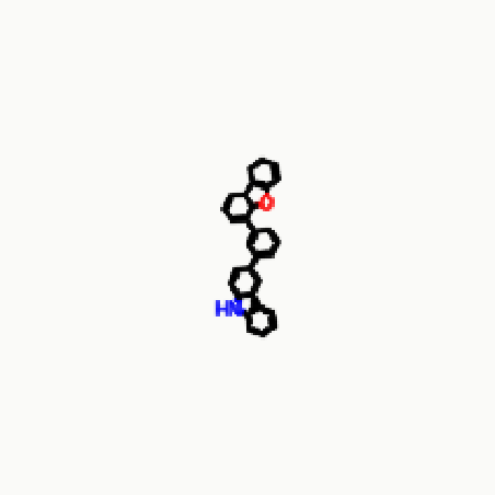 C1=CC2C3=C(C=CCC3)OC2C(C2=CC(C3C=Cc4[nH]c5ccccc5c4C3)=CCC2)=C1